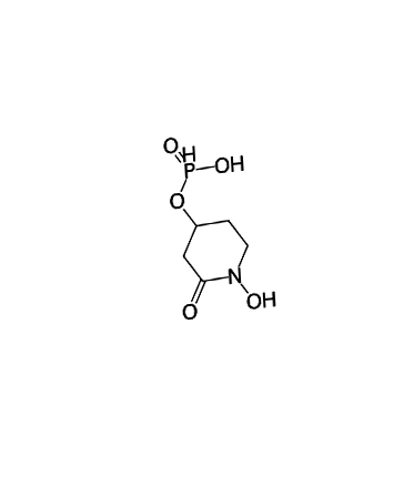 O=C1CC(O[PH](=O)O)CCN1O